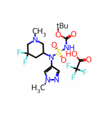 CN1CC(N(c2cnn(C)c2)S(=O)(=O)NC(=O)OC(C)(C)C)CC(F)(F)C1.O=C(O)C(F)(F)F